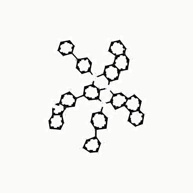 c1ccc(-c2ccc(N3c4cc5c(ccc6ccccc65)cc4B4c5cc6ccc7ccccc7c6cc5N(c5ccc(-c6ccccc6)cc5)c5cc(-c6ccc7oc8ccccc8c7c6)cc3c54)cc2)cc1